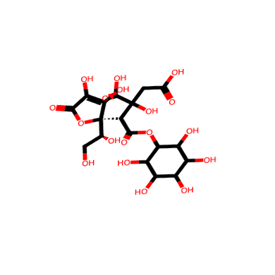 O=C(O)CC(O)(C(=O)O)C(C(=O)OC1C(O)C(O)C(O)C(O)C1O)[C@]1([C@@H](O)CO)OC(=O)C(O)=C1O